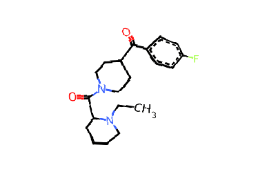 CCN1CCCCC1C(=O)N1CCC(C(=O)c2ccc(F)cc2)CC1